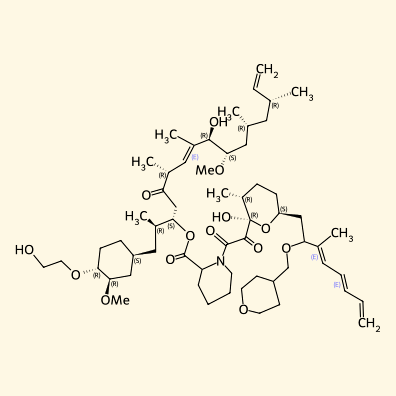 C=C/C=C/C=C(\C)C(C[C@@H]1CC[C@@H](C)[C@](O)(C(=O)C(=O)N2CCCCC2C(=O)O[C@@H](CC(=O)[C@H](C)/C=C(\C)[C@@H](O)[C@H](C[C@H](C)C[C@@H](C)C=C)OC)[C@H](C)C[C@@H]2CC[C@@H](OCCO)[C@H](OC)C2)O1)OCC1CCOCC1